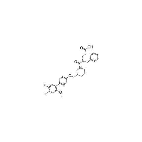 COc1cc(F)c(F)cc1-c1ccc(OCC2CCCN(C(=O)N(CCC(=O)O)Cc3ccccc3)C2)cc1